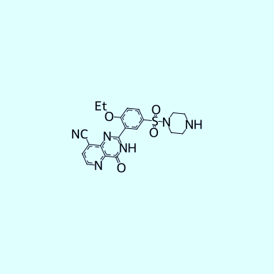 CCOc1ccc(S(=O)(=O)N2CCNCC2)cc1-c1nc2c(C#N)ccnc2c(=O)[nH]1